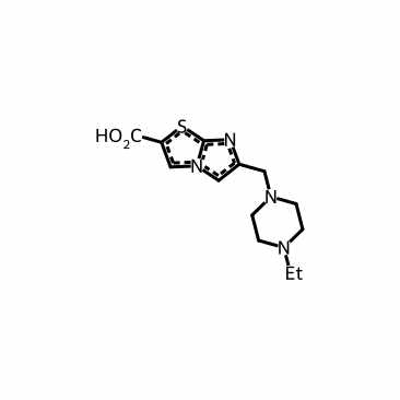 CCN1CCN(Cc2cn3cc(C(=O)O)sc3n2)CC1